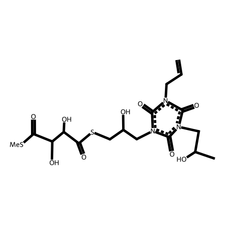 C=CCn1c(=O)n(CC(C)O)c(=O)n(CC(O)CSC(=O)C(O)C(O)C(=O)SC)c1=O